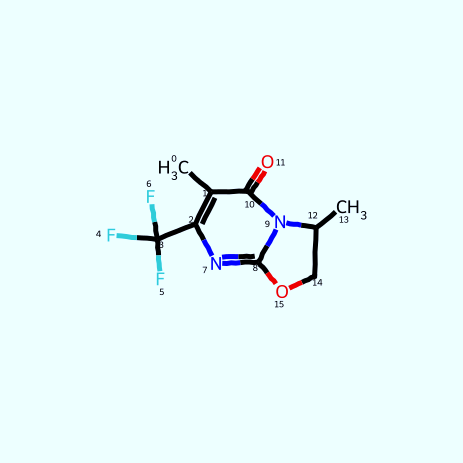 Cc1c(C(F)(F)F)nc2n(c1=O)C(C)CO2